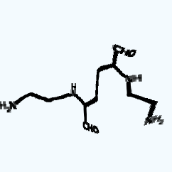 NCCNC(C=O)CCC(C=O)NCCN